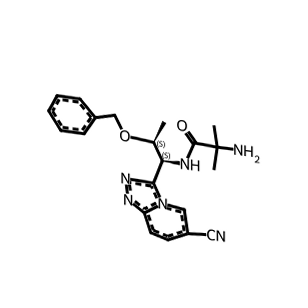 C[C@H](OCc1ccccc1)[C@@H](NC(=O)C(C)(C)N)c1nnc2ccc(C#N)cn12